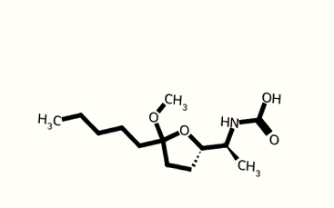 CCCCCC1(OC)CC[C@@H]([C@H](C)NC(=O)O)O1